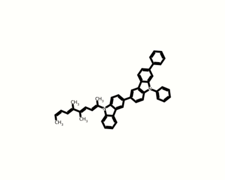 C\C=C/C=C(C)/C(C)=C/C=C(\C)n1c2ccccc2c2cc(-c3ccc4c(c3)c3ccc(-c5ccccc5)cc3n4-c3ccccc3)ccc21